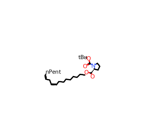 CCCCC/C=C\C/C=C\CCCCCCCCOC(=O)[C@@H]1CCCN1C(=O)OC(C)(C)C